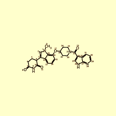 Cn1nc(C2CCC(=O)NC2=O)c2cccc(OC3CCN(C(=O)c4c[nH]c5ncccc45)CC3)c21